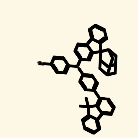 CC(C)(C)c1ccc(N(c2ccc(-c3cccc4c3C(C)(C)c3ccccc3-4)cc2)c2ccc3c(c2)C2(c4ccccc4-3)C3CC4CC(C3)CC2C4)cc1